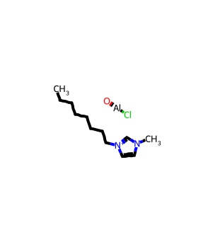 CCCCCCCC[n+]1ccn(C)c1.[O]=[Al][Cl]